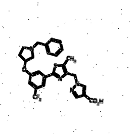 Cc1sc(-c2cc(OC3CCN(Cc4ccccc4)C3)cc(C(F)(F)F)c2)nc1Cn1cc(C(=O)O)cn1